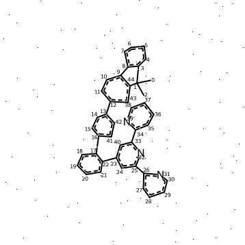 CC1(C)c2ccccc2-c2ccc(-c3ccc(-c4ccccc4-c4cc(-c5ccccn5)nc(-c5ccccn5)c4)cc3)cc21